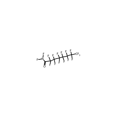 O=C(N(F)F)C(F)(F)C(F)(F)C(F)(F)C(F)(F)C(F)(F)C(F)(F)C(F)(F)F